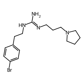 NC(=NCCCN1CCCC1)NCCc1ccc(Br)cc1